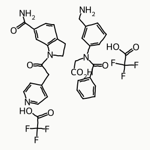 NC(=O)c1ccc2c(c1)N(C(=O)Cc1ccncc1)CC2.NCc1cccc(N(CC(=O)O)C(=O)c2ccccc2)c1.O=C(O)C(F)(F)F.O=C(O)C(F)(F)F